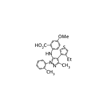 CCc1cscc1-c1c(C)nn(-c2ccccc2C)c1Nc1ccc(OC)cc1C(=O)O